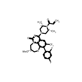 C=CC(=O)N1[C@H](C)CN(c2nc(=O)n3c4c(c(-c5ccc(F)cc5F)c(C(F)(F)F)cc24)SC[C@H](OC)C3)C[C@@H]1C